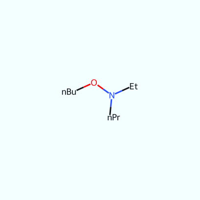 CCCCON(CC)CCC